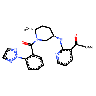 COC(=O)c1cccnc1N[C@@H]1CC[C@@H](C)N(C(=O)c2ccccc2-n2nccn2)C1